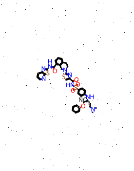 CN(C)CC[C@H](COc1ccccc1)Nc1ccc(S(=O)(=O)NC(=O)c2csc(N3CCc4cccc(C(=O)Nc5nc6cccnc6s5)c4C3)n2)cc1[N+](=O)[O-]